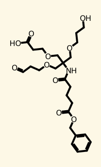 O=CCCOCC(COCCCO)(COCCC(=O)O)NC(=O)CCCC(=O)OCc1ccccc1